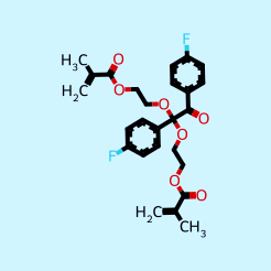 C=C(C)C(=O)OCCOC(OCCOC(=O)C(=C)C)(C(=O)c1ccc(F)cc1)c1ccc(F)cc1